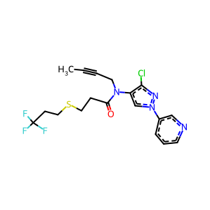 CC#CCN(C(=O)CCSCCC(F)(F)F)c1cn(-c2cccnc2)nc1Cl